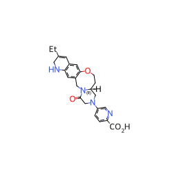 CCC1=Cc2cc3c(cc2NC1)CN1C(=O)CN(c2ccc(C(=O)O)nc2)C[C@H]1CCO3